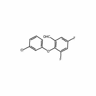 O=Cc1cc(F)cc(F)c1Oc1cccc(Cl)c1